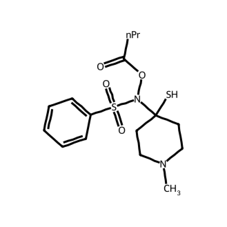 CCCC(=O)ON(C1(S)CCN(C)CC1)S(=O)(=O)c1ccccc1